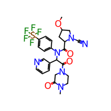 COC1CC(C(=O)N(c2ccc(S(F)(F)(F)(F)F)cc2)C(C(=O)N2CCN(C)C(=O)C2)c2cccnc2)N(C#N)C1